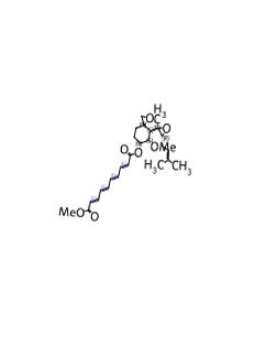 COC(=O)/C=C/C=C/C=C/C=C/C(=O)O[C@@H]1CC[C@]2(CO2)[C@@H]([C@@]2(C)O[C@@H]2CC=C(C)C)[C@@H]1OC